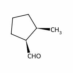 C[C@@H]1CCC[C@@H]1C=O